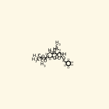 CC(C)C[C@H](NC(=O)OCc1ccccc1)C(=O)NC1CCN(C(=O)OC(C)(C)C)CC1=O